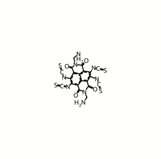 NCN1C(=O)c2c(N=C=S)c(N=C=S)c3c4c(c(N=C=S)c(N=C=S)c(c24)C1=O)C(=O)N(CN)C3=O